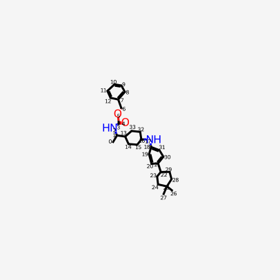 CC(NC(=O)OCc1ccccc1)C1CCC(Nc2ccc(C3CCC(C)(C)CC3)cc2)CC1